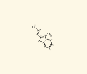 C[n+]1c(C=NO)sc2ccccc21.[Br-]